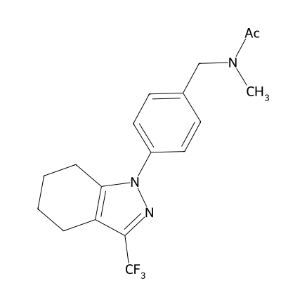 CC(=O)N(C)Cc1ccc(-n2nc(C(F)(F)F)c3c2CCCC3)cc1